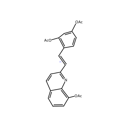 CC(=O)Oc1ccc(/C=C/c2ccc3cccc(OC(C)=O)c3n2)c(OC(C)=O)c1